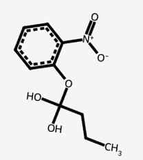 CCCC(O)(O)Oc1ccccc1[N+](=O)[O-]